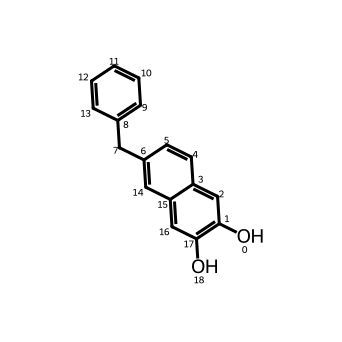 Oc1cc2ccc(Cc3ccccc3)cc2cc1O